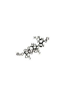 CCOc1nc(N)nc2c1ncn2[C@@H]1O[C@@H]2COP(=O)(N[C@@H](C)C(=O)OCC(C)C)O[C@H]2[C@@]1(C)F